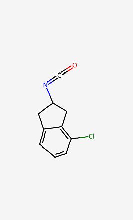 O=C=NC1Cc2cccc(Cl)c2C1